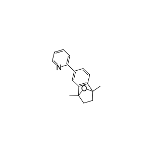 CC12CCC(C)(O1)c1cc(-c3ccccn3)ccc12